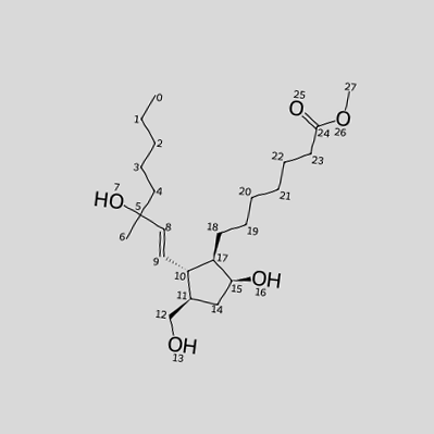 CCCCCC(C)(O)C=C[C@H]1[C@H](CO)C[C@H](O)[C@@H]1CCCCCCC(=O)OC